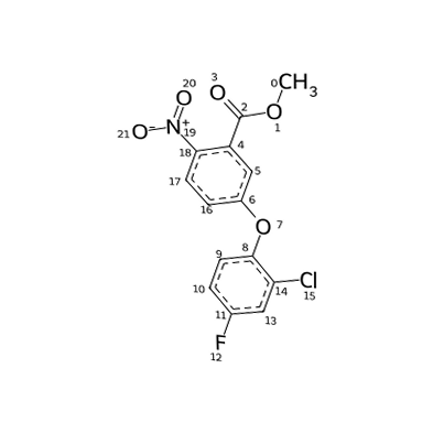 COC(=O)c1cc(Oc2ccc(F)cc2Cl)ccc1[N+](=O)[O-]